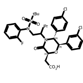 CC(C)C(CN(c1ccccc1F)S(=O)(=O)C(C)(C)C)N1C(=O)[C@H](CC(=O)O)O[C@H](c2cccc(Cl)c2)[C@H]1c1ccc(Cl)cc1